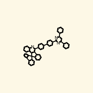 c1ccc(-c2cc(-c3ccccc3)nc(-c3ccc(-c4ccc(-c5nc6ccccc6c6c5-c5ccccc5C65c6ccccc6-c6ccccc65)cc4)cc3)n2)cc1